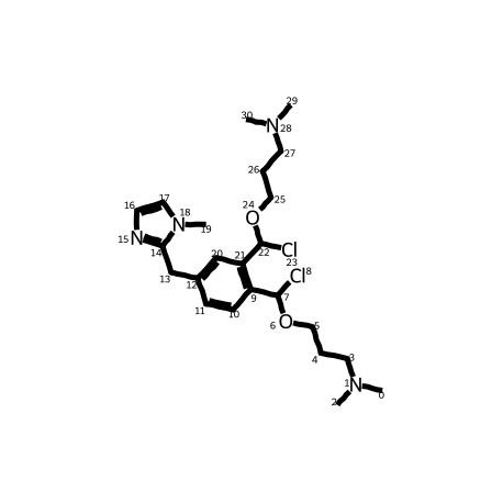 CN(C)CCCOC(Cl)c1ccc(Cc2nccn2C)cc1C(Cl)OCCCN(C)C